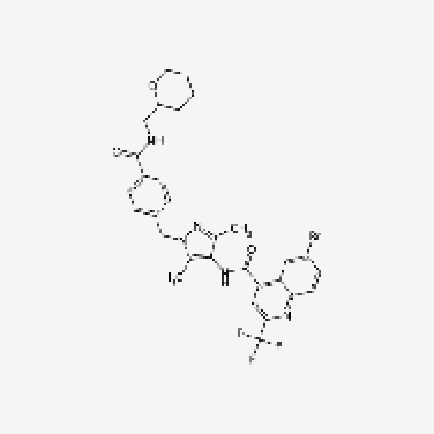 Cc1nn(Cc2ccc(C(=O)NCC3CCCCO3)cc2)c(C)c1NC(=O)c1cc(C(F)(F)F)nc2ccc(Br)cc12